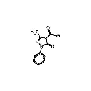 CC1=NN(c2ccccc2)C(=O)C1C(=O)C(C)C